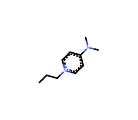 CCC[n+]1ccc(N(C)C)cc1